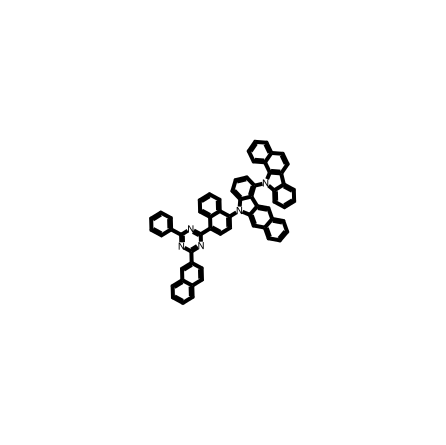 c1ccc(-c2nc(-c3ccc4ccccc4c3)nc(-c3ccc(-n4c5cc6ccccc6cc5c5c(-n6c7ccccc7c7ccc8ccccc8c76)cccc54)c4ccccc34)n2)cc1